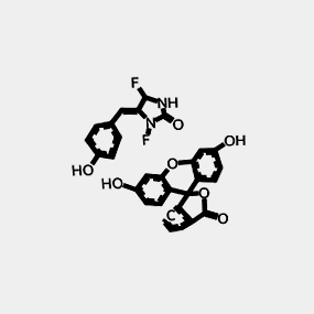 O=C1NC(F)C(=Cc2ccc(O)cc2)N1F.O=C1OC2(c3ccc(O)cc3Oc3cc(O)ccc32)c2ccccc21